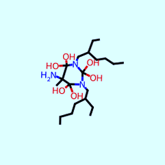 CCCCC(CC)CN1C(O)(O)N(CC(CC)CCCC)C(O)(O)C(C)(N)C1(O)O